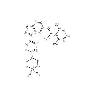 C[C@@H](Oc1ccc2[nH]nc(-c3ccc(N4CCS(=O)(=O)CC4)nc3)c2c1)c1c(Cl)cncc1Cl